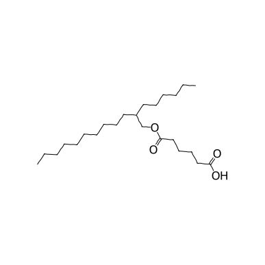 CCCCCCCCCCC(CCCCCC)COC(=O)CCCCC(=O)O